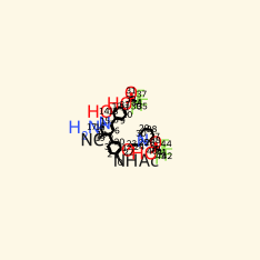 CC(=O)Nc1ccc(-c2cc(-c3ccccc3O)nc(N)c2C#N)cc1OCCN1CCCCC1.O=C(O)C(F)(F)F.O=C(O)C(F)(F)F